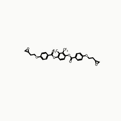 O=C(Oc1ccc(OC(=O)c2ccc(OCCC3CO3)cc2)c(C(F)(F)F)c1C(F)(F)F)c1ccc(OCCC2CO2)cc1